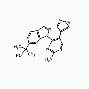 CC(C)(O)c1ccc2cnn(-c3nc(N)ncc3-c3cn[nH]c3)c2c1